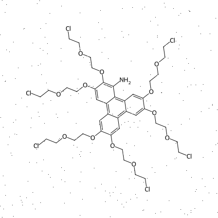 Nc1c(OCCOCCCl)c(OCCOCCCl)cc2c3cc(OCCOCCCl)c(OCCOCCCl)cc3c3cc(OCCOCCCl)c(OCCOCCCl)cc3c12